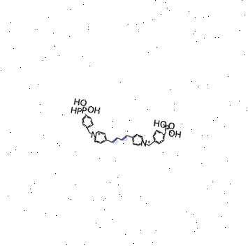 O=P(O)(O)c1ccc(C[n+]2ccc(/C=C/C=C/c3cc[n+](Cc4ccc(P(O)(O)=P)cc4)cc3)cc2)cc1